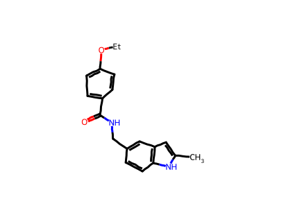 CCOc1ccc(C(=O)NCc2ccc3[nH]c(C)cc3c2)cc1